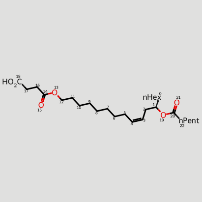 CCCCCC[C@H](C/C=C\CCCCCCCCOC(=O)CCC(=O)O)OC(=O)CCCCC